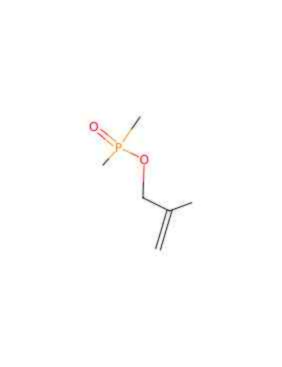 C=C(C)COP(C)(C)=O